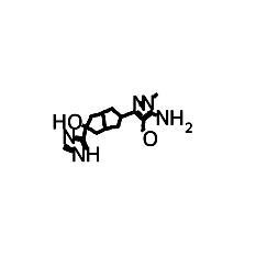 Cn1nc(C2CC3CC(O)(c4c[nH]cn4)CC3C2)c(C=O)c1N